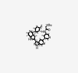 CC(C)(C)CC(=O)Nc1cncc(-c2cc3c(-c4cc5c(-c6ccc(F)cc6)nccc5[nH]4)n[nH]c3cn2)c1